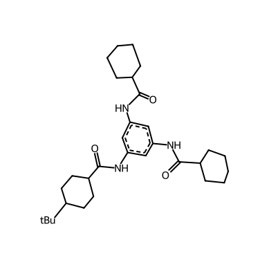 CC(C)(C)C1CCC(C(=O)Nc2cc(NC(=O)C3CCCCC3)cc(NC(=O)C3CCCCC3)c2)CC1